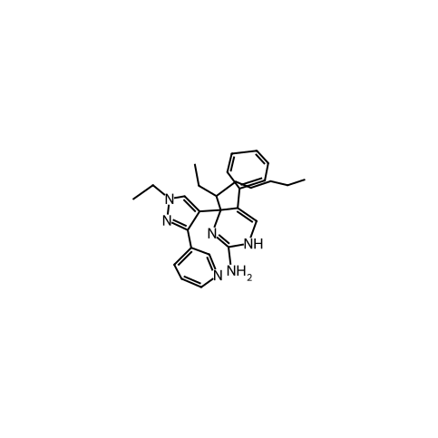 CCCCCC(CC)C1(c2cn(CC)nc2-c2cccnc2)N=C(N)NC=C1c1ccccc1